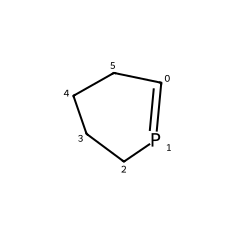 C1=PCCCC1